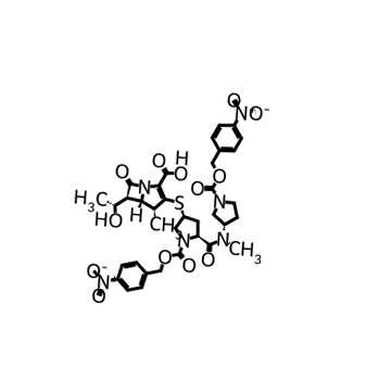 C[C@@H](O)[C@H]1C(=O)N2C(C(=O)O)=C(S[C@H]3C[C@@H](C(=O)N(C)[C@H]4CCN(C(=O)OCc5ccc([N+](=O)[O-])cc5)C4)N(C(=O)OCc4ccc([N+](=O)[O-])cc4)C3)[C@H](C)[C@H]12